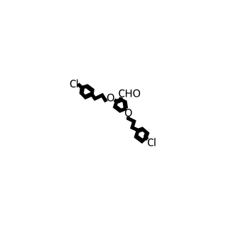 O=Cc1cc(OCCCc2ccc(Cl)cc2)ccc1OCCCc1ccc(Cl)cc1